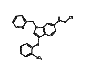 N#CCNc1ccc2c(Sc3ccccc3[N+](=O)[O-])cn(Cc3ccccn3)c2c1